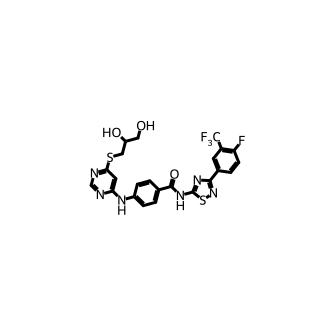 O=C(Nc1nc(-c2ccc(F)c(C(F)(F)F)c2)ns1)c1ccc(Nc2cc(SCC(O)CO)ncn2)cc1